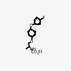 CCOC(=O)NC(C)COc1ccc(Oc2ccc(F)cc2)cc1